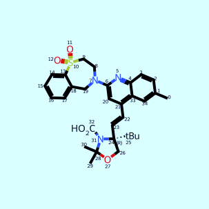 Cc1ccc2nc(N3CCS(=O)(=O)c4ccccc4C3)cc(C=C[C@@]3(C(C)(C)C)COC(C)(C)N3C(=O)O)c2c1